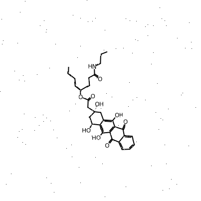 CCCCC(CCC(=O)NCCC)OC(=O)C[C@@]1(O)Cc2c(O)c3c(c(O)c2[C@@H](O)C1)C(=O)c1ccccc1C3=O